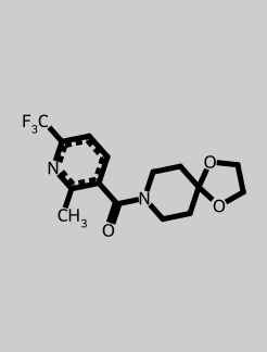 Cc1nc(C(F)(F)F)ccc1C(=O)N1CCC2(CC1)OCCO2